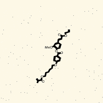 C=CCOC(=O)/C=C/c1ccc(OC(=O)c2ccc(OCCCCCCOC(=O)C(=C)C)cc2)c(OC)c1